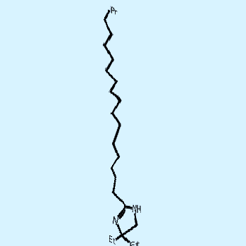 CCC1(CC)CNC(CCCCCCCCCCCCCCCC(C)C)=N1